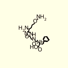 NCOCCC[C@H](N)c1noc(CNC(=O)N[C@@H](Cc2ccccc2)C(=O)O)n1